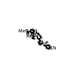 COC(=O)c1ccc2nc(CN3CCC(c4cccc(OCc5ccc(C#N)cc5F)n4)CC3)n(CC3(N(C)C(C)=O)CC3)c2c1